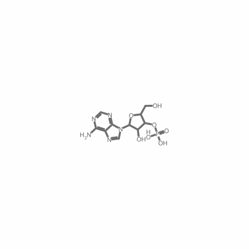 Nc1ncnc2c1ncn2C1OC(CO)C(OP(=O)(O)O)C1O